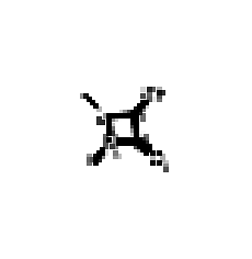 CCC1C(=O)N(C)[C@@H]1C